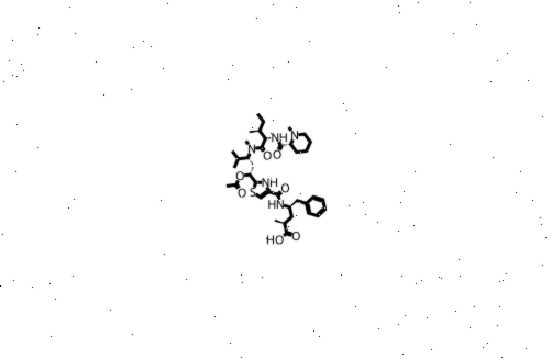 CC[C@H](C)[C@H](NC(=O)[C@H]1CCCCN1C)C(=O)N(C)[C@H](C[C@@H](OC(C)=O)C1NC(C(=O)N[C@@H](Cc2ccccc2)C[C@H](C)C(=O)O)=CS1)C(C)C